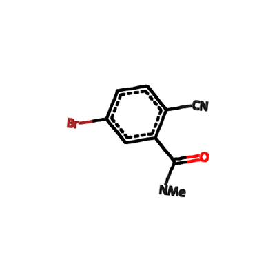 CNC(=O)c1cc(Br)ccc1C#N